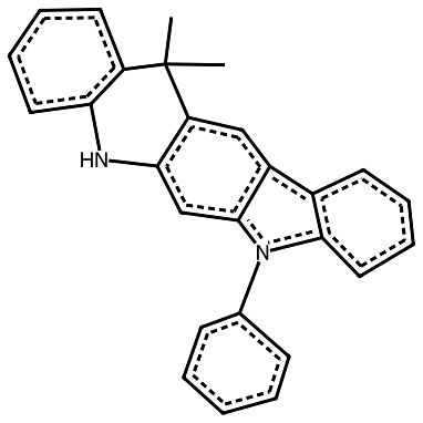 CC1(C)c2ccccc2Nc2cc3c(cc21)c1ccccc1n3-c1ccccc1